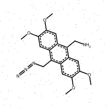 COc1cc2c(CN)c3cc(OC)c(OC)cc3c(CN=[N+]=[N-])c2cc1OC